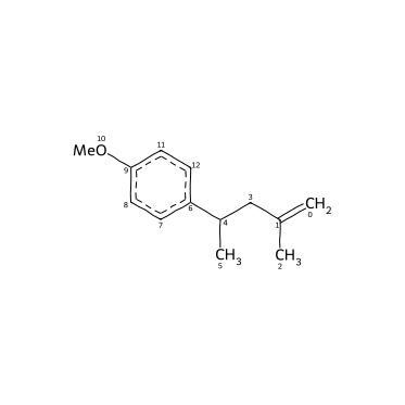 C=C(C)CC(C)c1ccc(OC)cc1